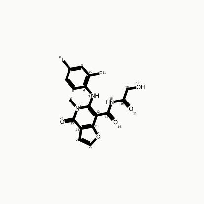 Cn1c(Nc2ccc(I)cc2F)c(C(=O)NC(=O)CO)c2occc2c1=O